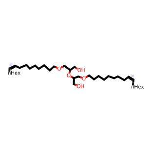 CCCCCC/C=C\CCCCCCCCOCC(CO)OC(CO)COCCCCCCCC/C=C\CCCCCC